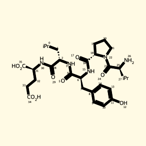 CC(C)C[C@H](NC(=O)[C@H](Cc1ccc(O)cc1)NC(=O)[C@@H]1CCCN1C(=O)[C@@H](N)C(C)C)C(=O)N[C@@H](CCC(=O)O)C(=O)O